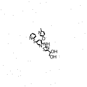 Cc1ccc(Oc2cc(Sc3ccccn3)cnc2Nc2nc(C(O)CO)cs2)cn1